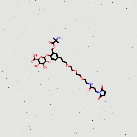 CC(C)(N)C(=O)OCc1cc(CCCOCCOCCOCCNC(=O)CCN2C(=O)C=CC2=O)ccc1O[C@@H]1O[C@H](C(=O)O)[C@@H](O)[C@H](O)[C@H]1O